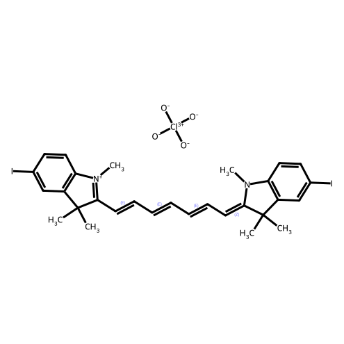 CN1\C(=C/C=C/C=C/C=C/C2=[N+](C)c3ccc(I)cc3C2(C)C)C(C)(C)c2cc(I)ccc21.[O-][Cl+3]([O-])([O-])[O-]